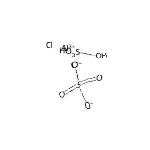 O=S(=O)(O)O.O=S(=O)([O-])[O-].[Al+3].[Cl-]